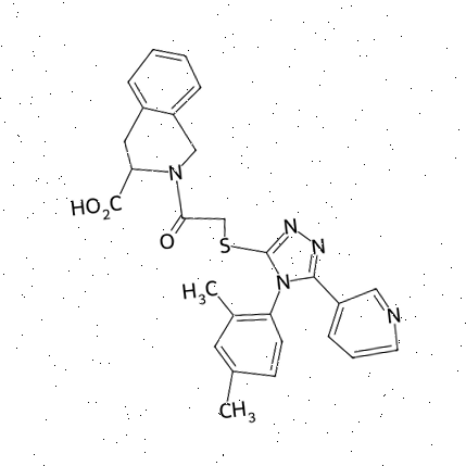 Cc1ccc(-n2c(SCC(=O)N3Cc4ccccc4CC3C(=O)O)nnc2-c2cccnc2)c(C)c1